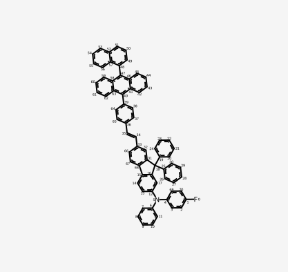 Fc1ccc(N(c2ccccc2)c2ccc3c(c2)C(c2ccccc2)(c2ccccc2)c2cc(/C=C/c4ccc(-c5c6ccccc6c(-c6cccc7ccccc67)c6ccccc56)cc4)ccc2-3)cc1